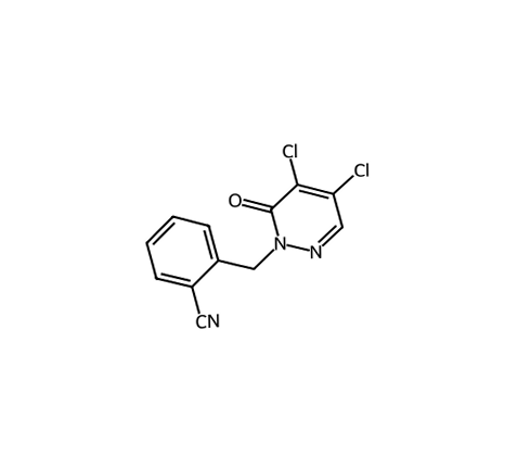 N#Cc1ccccc1Cn1ncc(Cl)c(Cl)c1=O